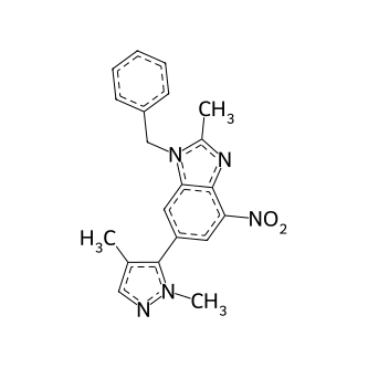 Cc1cnn(C)c1-c1cc([N+](=O)[O-])c2nc(C)n(Cc3ccccc3)c2c1